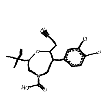 CC(C)(C)C1CN(C(=O)O)CC(c2ccc(Cl)c(Cl)c2)C(CC#N)O1